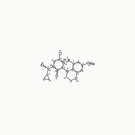 Bc1cc(OC)cc2c1N(c1nc(Cl)cn([C@H](CC)C3CC3)c1=O)CCO2